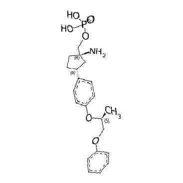 C[C@@H](COc1ccccc1)Oc1ccc([C@@H]2CC[C@](N)(COP(=O)(O)O)C2)cc1